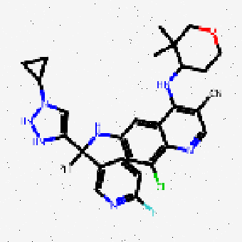 [2H]C(Nc1cc(Cl)c2ncc(C#N)c(NC3CCOCC3(C)C)c2c1)(C1=CN(C2CC2)NN1)c1ccc(F)nc1